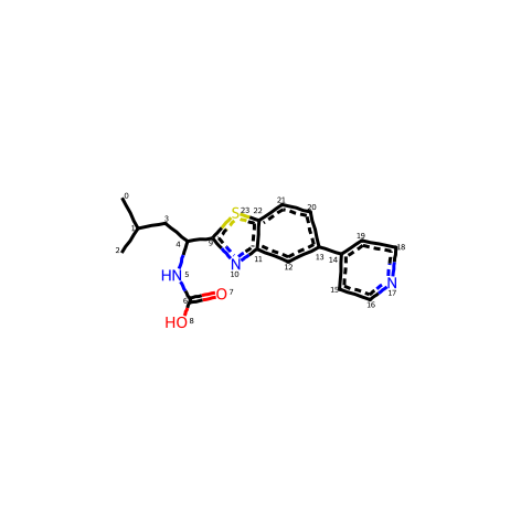 CC(C)CC(NC(=O)O)c1nc2cc(-c3ccncc3)ccc2s1